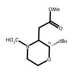 COC(=O)CC1[C@H](C(C)(C)C)OCCN1C(=O)O